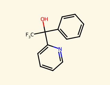 OC(c1ccccc1)(c1ccccn1)C(F)(F)F